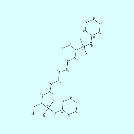 CCC(SSSSSSSSC(CC)[Si](C)(C)OC1CCCCC1)[Si](C)(C)OC1CCCCC1